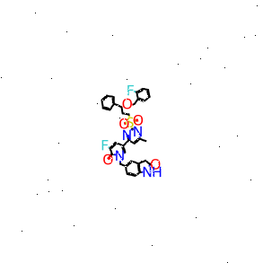 Cc1cc(-c2cc(F)c(=O)n(Cc3ccc4c(c3)CC(=O)N4)c2)nc(S(=O)(=O)CCC(OCc2ccccc2F)c2ccccc2)n1